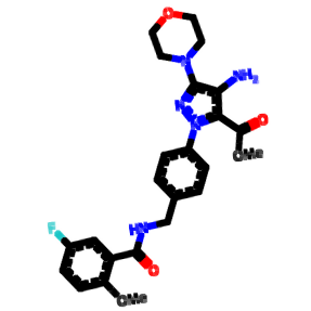 COC(=O)c1c(N)c(N2CCOCC2)nn1-c1ccc(CNC(=O)c2cc(F)ccc2OC)cc1